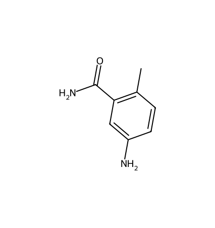 Cc1ccc(N)cc1C(N)=O